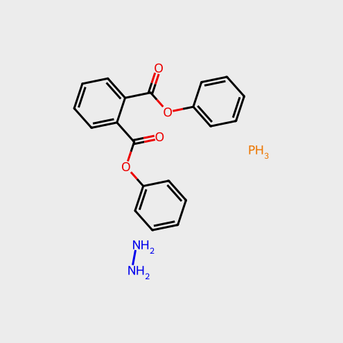 NN.O=C(Oc1ccccc1)c1ccccc1C(=O)Oc1ccccc1.P